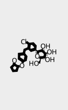 O=C1CCCC1Oc1ccc(Cc2cc([C@@H]3O[C@H](CO)[C@@H](O)[C@H](O)[C@H]3O)ccc2Cl)cc1